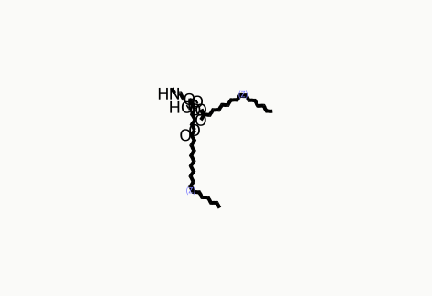 CCCCCC/C=C\CCCCCCCCCC(=O)OCC(COP(=O)(O)OCCNC)OC(=O)CCCCCCC/C=C\CCCCCC